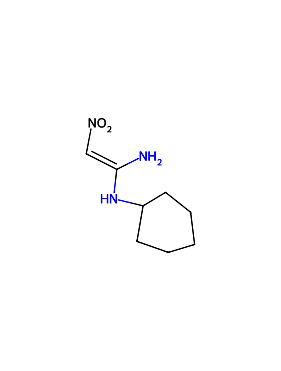 NC(=C[N+](=O)[O-])NC1CCCCC1